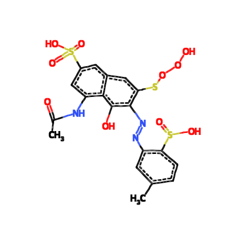 CC(=O)Nc1cc(S(=O)(=O)O)cc2cc(SOOO)c(N=Nc3cc(C)ccc3S(=O)O)c(O)c12